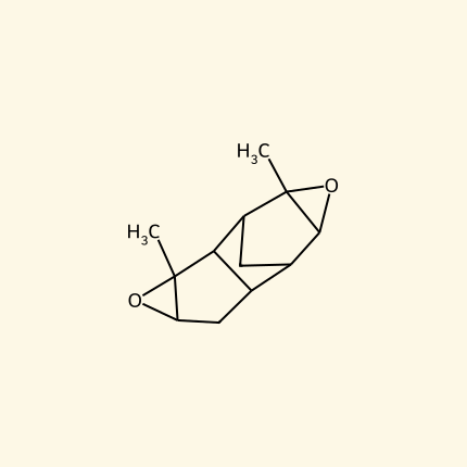 CC12OC1C1CC2C2C1CC1OC12C